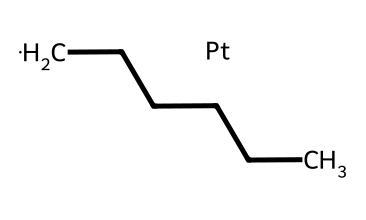 [CH2]CCCCC.[Pt]